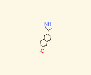 COc1ccc2cc(C(C)C=N)ccc2c1